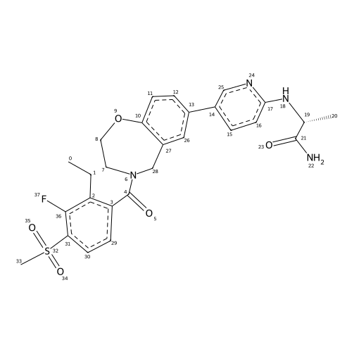 CCc1c(C(=O)N2CCOc3ccc(-c4ccc(N[C@H](C)C(N)=O)nc4)cc3C2)ccc(S(C)(=O)=O)c1F